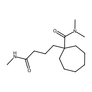 CNC(=O)CCCC1(C(=O)N(C)C)CCCCCC1